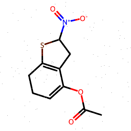 CC(=O)OC1=CCCC2=C1CC([N+](=O)[O-])S2